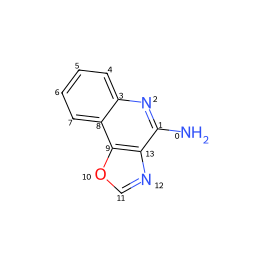 Nc1nc2ccccc2c2ocnc12